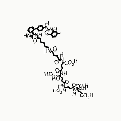 Cc1ccc(F)c(NC(=O)Nc2ccc(-c3cccc4[nH]nc(NC(=O)CCCCCNC(=O)CCC(=O)N[C@@H](CCC(=O)NC(O)(CCC(=O)N[C@@H](CCC(=O)NC(O)(CCC(=O)O)C(=O)O)C(=O)O)C(=O)O)C(=O)O)c34)cc2)c1